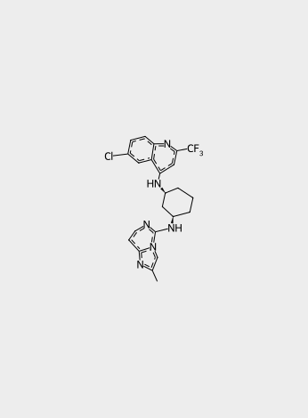 Cc1cn2c(N[C@@H]3CCC[C@H](Nc4cc(C(F)(F)F)nc5ccc(Cl)cc45)C3)nccc2n1